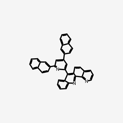 c1ccc2cc(-c3cc(-c4ccc5ccccc5c4)nc(-c4c5ccccc5nc5c4ccc4cccnc45)c3)ccc2c1